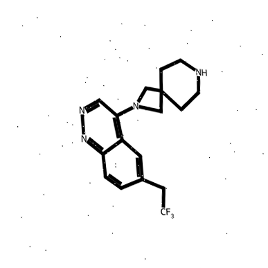 FC(F)(F)Cc1ccc2nncc(N3CC4(CCNCC4)C3)c2c1